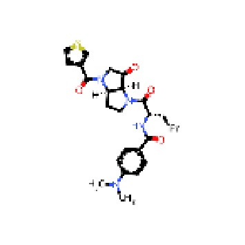 CC(C)C[C@H](NC(=O)c1ccc(N(C)C)cc1)C(=O)N1CC[C@@H]2[C@H]1C(=O)CN2C(=O)c1ccsc1